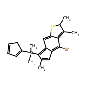 CC1=Cc2c(Br)c3c(cc2=C1[Si](C)(C)C1=CC=CC1)SC(C)C=3C